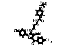 Cc1ccc(C(=O)c2nn(-c3ccc(Cl)cc3)c(NCCCNC(=O)c3ccc(OC(F)(F)F)cc3)c2C#N)cc1